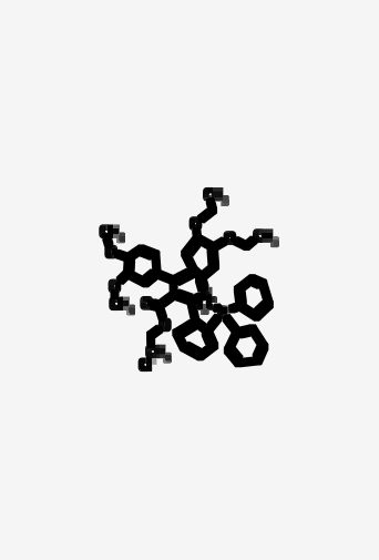 CCOC(=O)c1c(-c2ccccc2[P+](C)(c2ccccc2)c2ccccc2)nc2cc(OCC)c(OCC)cc2c1-c1ccc(OC)c(OC)c1.[Cl-]